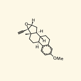 C#C[C@@]12O[C@@H]1C[C@H]1[C@@H]3CCc4cc(OC)ccc4[C@H]3CC[C@@]12C